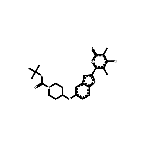 Cc1c(-c2cc3cc(OC4CCN(C(=O)OC(C)(C)C)CC4)ccc3o2)oc(=O)c(C)c1O